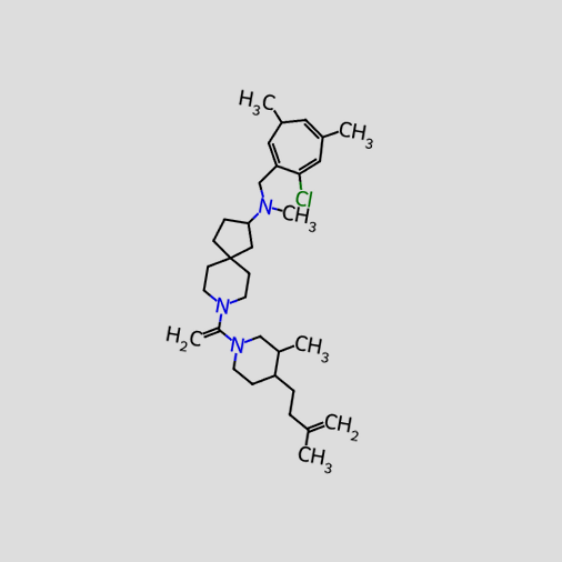 C=C(C)CCC1CCN(C(=C)N2CCC3(CCC(N(C)CC4=CC(C)C=C(C)C=C4Cl)C3)CC2)CC1C